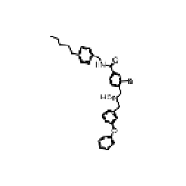 CCCCCc1ccc(CNC(=O)c2ccc(CN(O)Cc3cccc(Oc4ccccc4)c3)c(Br)c2)cc1